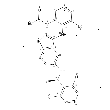 CCC(=O)Nc1cccc(CC)c1Nc1n[nH]c2ccc(O[C@H](C)c3c(Cl)cncc3Cl)cc12